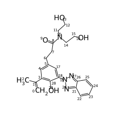 C=C(C)c1cc(CCC(=O)N(CCO)CCO)cc(-n2nc3ccccc3n2)c1O